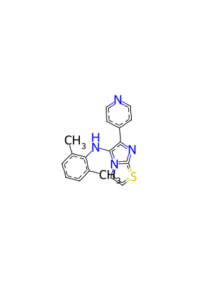 Cc1cccc(C)c1Nc1c(-c2ccncc2)nc2sccn12